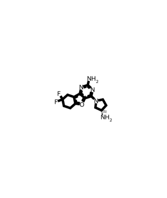 Nc1nc(N2CC[C@H](N)C2)c2oc3c(c2n1)CC(F)(F)CC3